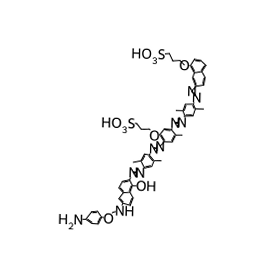 Cc1cc(N=Nc2cc(OCCCS(=O)(=O)O)c(N=Nc3cc(C)c(N=Nc4ccc5cc(NCOc6ccc(N)cc6)ccc5c4O)cc3C)cc2C)c(C)cc1N=Nc1ccc2cccc(OCCCS(=O)(=O)O)c2c1